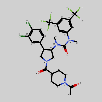 CC(=O)N1CCC(C(=O)N2CC(c3ccc(Cl)c(Cl)c3)C(N(C)C(=O)N(C)c3cc(C(F)(F)F)cc(C(F)(F)F)c3)C2)CC1